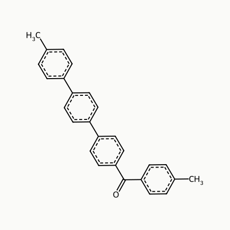 Cc1ccc(C(=O)c2ccc(-c3ccc(-c4ccc(C)cc4)cc3)cc2)cc1